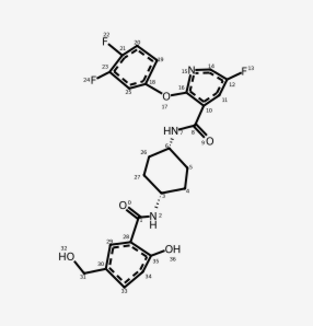 O=C(N[C@H]1CC[C@@H](NC(=O)c2cc(F)cnc2Oc2ccc(F)c(F)c2)CC1)c1cc(CO)ccc1O